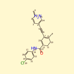 C=C/C=C\C(C#CC1=C(C)CCC(C(=O)Nc2ccc(Cl)cc2)=C1)=C/N